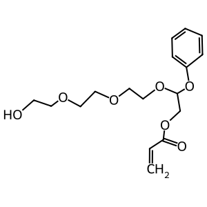 C=CC(=O)OCC(OCCOCCOCCO)Oc1ccccc1